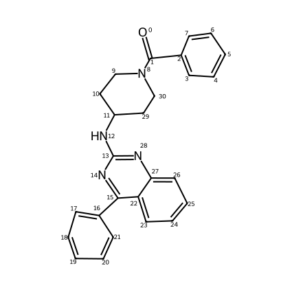 O=C(c1ccccc1)N1CCC(Nc2nc(-c3ccccc3)c3ccccc3n2)CC1